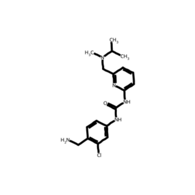 CC(C)N(C)Cc1cccc(NC(=O)Nc2ccc(CN)c(Cl)c2)n1